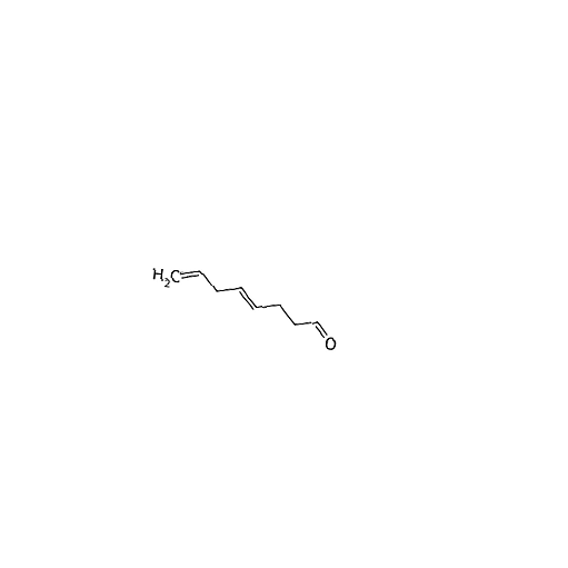 C=CCC=CCCC=O